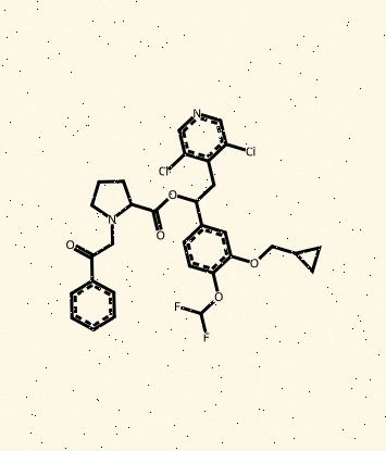 O=C(CN1CCCC1C(=O)OC(Cc1c(Cl)cncc1Cl)c1ccc(OC(F)F)c(OCC2CC2)c1)c1ccccc1